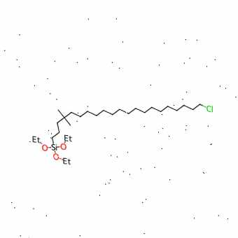 CCO[Si](CCCC(C)(C)CCCCCCCCCCCCCCCCCCl)(OCC)OCC